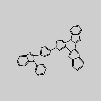 c1ccc(-n2c(-c3ccc(-c4ccc5c(c4)c4nc6ccccc6cc4c4nc6ccccc6n54)cc3)nc3ccccc32)cc1